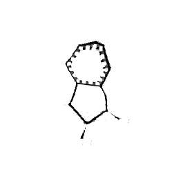 CC[C@@H]1c2ccccc2C[C@@H]1O